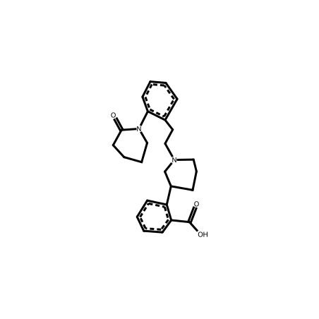 O=C(O)c1ccccc1C1CCCN(CCc2ccccc2N2CCCCC2=O)C1